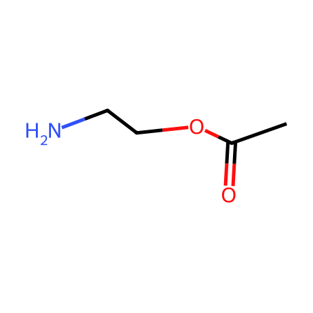 CC(=O)OCCN